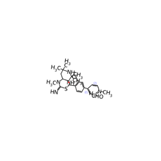 CN(C)/C=C\C(=C/C=O)c1ccc(C(=N)SC(=N)N(C)C2CC(C)(C)NC(C)(C)C2)c(Cl)c1